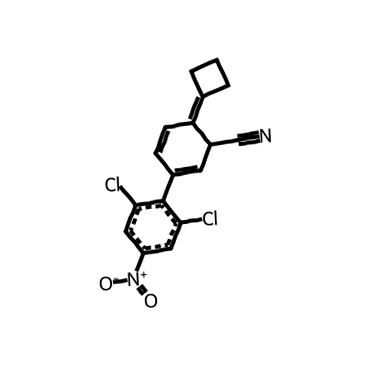 N#CC1C=C(c2c(Cl)cc([N+](=O)[O-])cc2Cl)C=CC1=C1CCC1